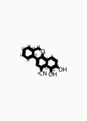 N#Cc1cc2c(c3ccc(O)c(O)c13)OCc1ccccc1-2